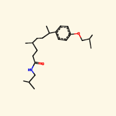 CC(C)CNC(=O)CCC(C)CCC(C)c1ccc(OCC(C)C)cc1